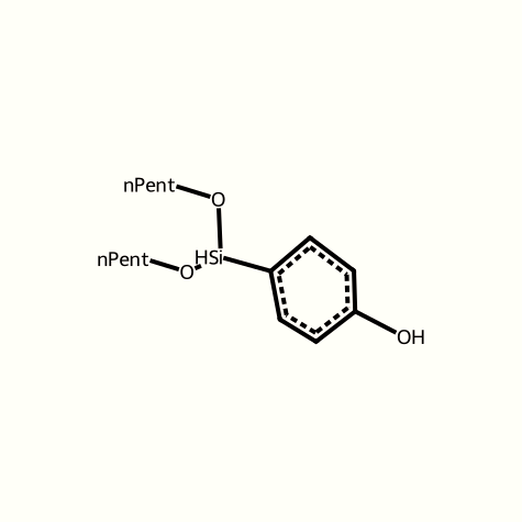 CCCCCO[SiH](OCCCCC)c1ccc(O)cc1